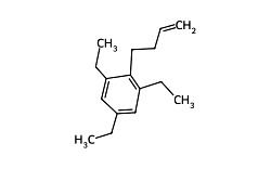 C=CCCc1c(CC)cc(CC)cc1CC